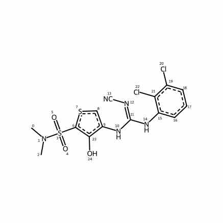 CN(C)S(=O)(=O)c1scc(NC(=NC#N)Nc2cccc(Cl)c2Cl)c1O